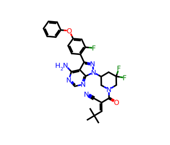 CC(C)(C)C=C(C#N)C(=O)N1CC(n2nc(-c3ccc(Oc4ccccc4)cc3F)c3c(N)ncnc32)CC(F)(F)C1